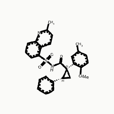 COc1ccc(C)cc1[C@]1(C(=O)NS(=O)(=O)c2cccc3nc(C)ccc23)C[C@@H]1c1ccccc1